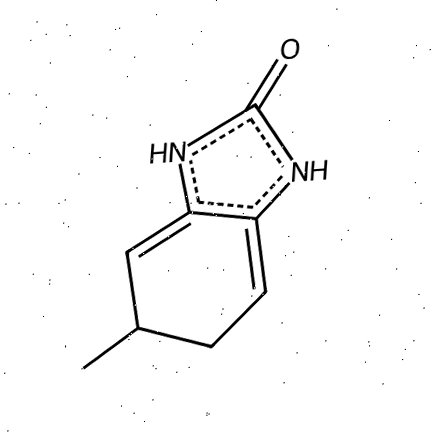 CC1C=c2[nH]c(=O)[nH]c2=CC1